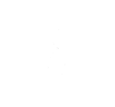 Cc1cc2c(c(C(OC(C)(C)C)C(=O)O)c1-c1ccc3c(c1)CCCO3)CCCN2C(=O)CCc1ccccc1